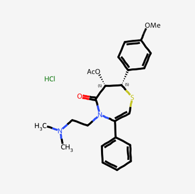 COc1ccc([C@@H]2SC=C(c3ccccc3)N(CCN(C)C)C(=O)[C@@H]2OC(C)=O)cc1.Cl